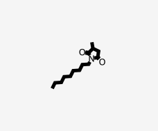 CCCCCCCCCN1C(=O)CC(C)C1=O